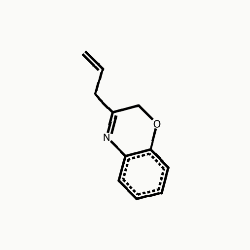 C=CCC1=Nc2ccccc2OC1